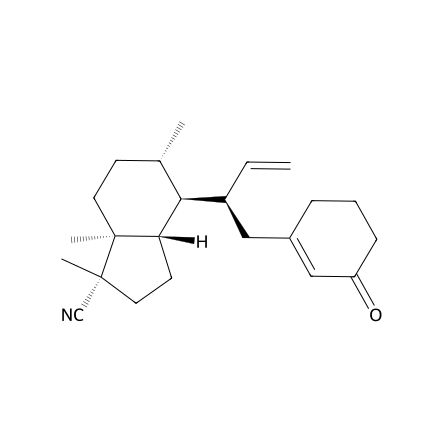 C=C[C@@H](CC1=CC(=O)CCC1)[C@@H]1[C@@H](C)CC[C@@]2(C)[C@H]1CC[C@]2(C)C#N